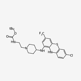 CC(C)(C)OC(=O)NCCN1CCC(Nc2cc(C(F)(F)F)cc3c2Nc2ccc(Cl)cc2S3)CC1